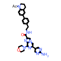 CC(=O)N1CCCc2cc(-c3ccc(CCNC(=O)c4cn5cc(-c6cnc(N)nc6)nc(N6CCOCC6)c5n4)cc3)ccc21